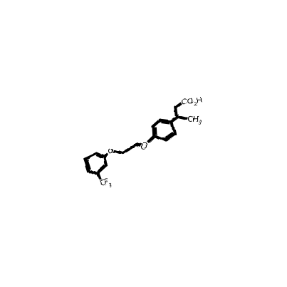 CC(CC(=O)O)c1ccc(OCCOc2cccc(C(F)(F)F)c2)cc1